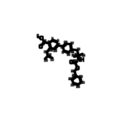 COC(=O)c1ccc(-c2ccc(CC(C)(C)NC(=O)OCc3ccccc3)cc2)cc1CC(C)C